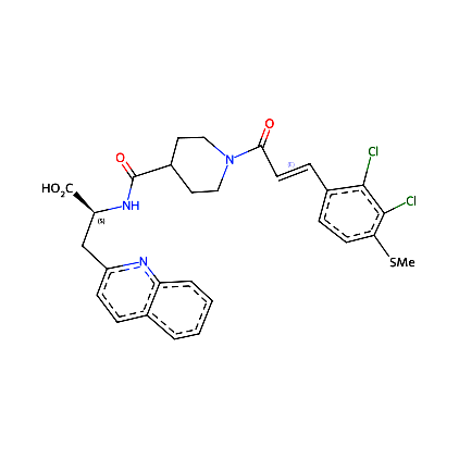 CSc1ccc(/C=C/C(=O)N2CCC(C(=O)N[C@@H](Cc3ccc4ccccc4n3)C(=O)O)CC2)c(Cl)c1Cl